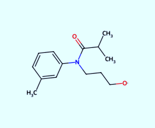 Cc1cccc(N(CCC[O])C(=O)C(C)C)c1